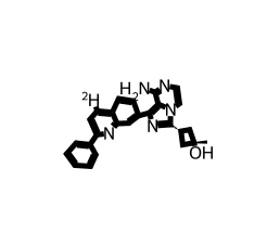 [2H]c1cc(-c2ccccc2)nc2cc(-c3nc([C@H]4C[C@@](C)(O)C4)n4ccnc(N)c34)ccc12